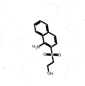 Nc1c(S(=O)(=O)CCO)ccc2ccccc12